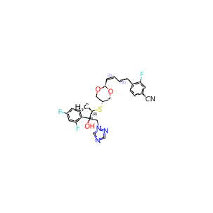 C[C@@H](S[C@H]1CO[C@H](/C=C\C=C\c2ccc(C#N)cc2F)OC1)[C@](O)(Cn1cncn1)c1ccc(F)cc1F